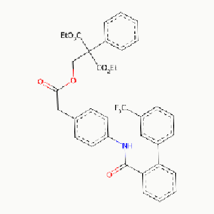 CCOC(=O)C(COC(=O)Cc1ccc(NC(=O)c2ccccc2-c2cccc(C(F)(F)F)c2)cc1)(C(=O)OCC)c1ccccc1